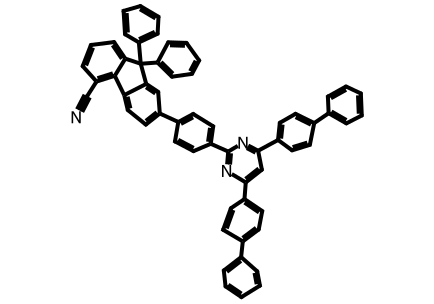 N#Cc1cccc2c1-c1ccc(-c3ccc(-c4nc(-c5ccc(-c6ccccc6)cc5)cc(-c5ccc(-c6ccccc6)cc5)n4)cc3)cc1C2(c1ccccc1)c1ccccc1